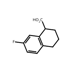 O=C(O)C1CCCc2ccc(F)cc21